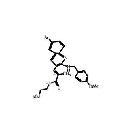 COc1ccc(CNc2nc3ccc(Br)cc3cc2/C=C(\C)C(=O)NCCC(C)(C)C)cc1